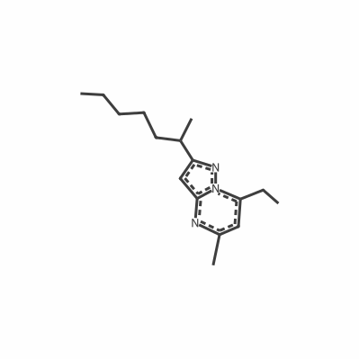 CCCCCC(C)c1cc2nc(C)cc(CC)n2n1